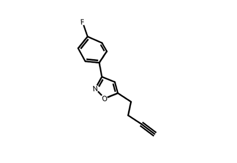 C#CCCc1cc(-c2ccc(F)cc2)no1